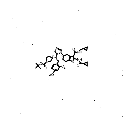 COc1ccc(CN(c2nncn2[C@H]2CCc3sc(NC(=O)C4CC4)c(C(=O)NCC4CC4)c3C2)[C@@H]2CCN(C(=O)OC(C)(C)C)C2)c(OC)c1